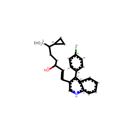 CCOC(=O)C(CCC(O)C=Cc1cnc2ccccc2c1-c1ccc(F)cc1)C1CC1